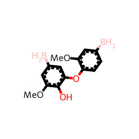 Bc1ccc(Oc2cc(B)cc(OC)c2O)c(OC)c1